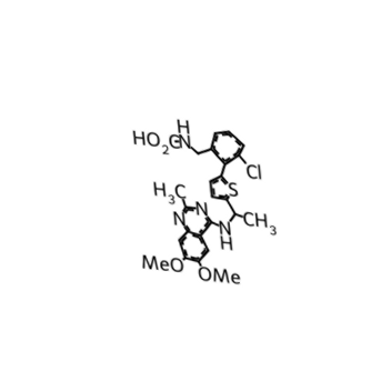 COc1cc2nc(C)nc(NC(C)c3ccc(-c4c(Cl)cccc4CNC(=O)O)s3)c2cc1OC